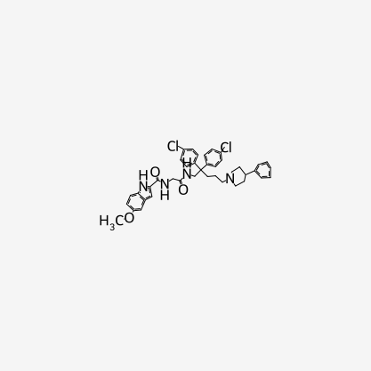 COc1ccc2[nH]c(C(=O)NCC(=O)NCC(CCCN3CCC(c4ccccc4)CC3)(c3ccc(Cl)cc3)c3ccc(Cl)cc3)cc2c1